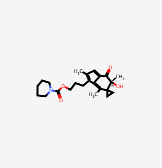 CC1=C(CCCOC(=O)N2CCCCC2)C2=C(C)C3(CC3)[C@@](C)(O)C(=O)C2=C1